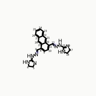 C(=N\NC1=NCCN1)/c1ccc(/C=N/NC2=NCCN2)c2cc3ccccc3cc12